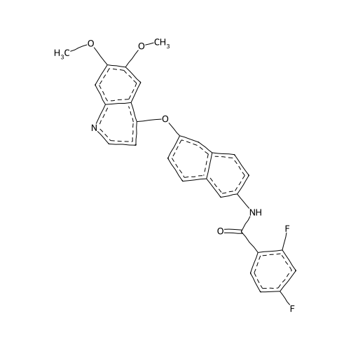 COc1cc2nccc(Oc3ccc4cc(NC(=O)c5ccc(F)cc5F)ccc4c3)c2cc1OC